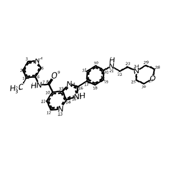 Cc1ccncc1NC(=O)c1ccnc2[nH]c(-c3ccc(NCCN4CCOCC4)cc3)nc12